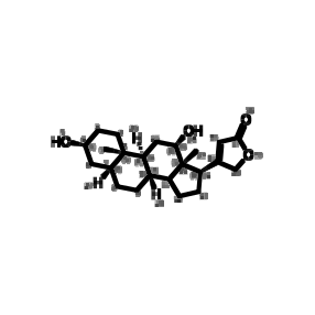 C[C@]12CC[C@H](O)C[C@H]1CC[C@H]1C3CC[C@H](C4=CC(=O)OC4)[C@@]3(C)[C@H](O)C[C@@H]12